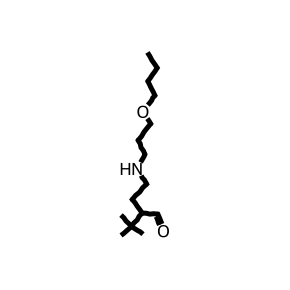 CCCCOCCCNCCC(C=O)C(C)(C)C